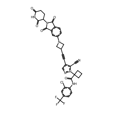 N#Cc1c(C#CC2CN(c3ccc4c(c3)C(=O)N(C3CCC(=O)NC3=O)C4=O)C2)cnn1C1(C(=O)Nc2ccc(C(F)(F)F)cc2Cl)CCC1